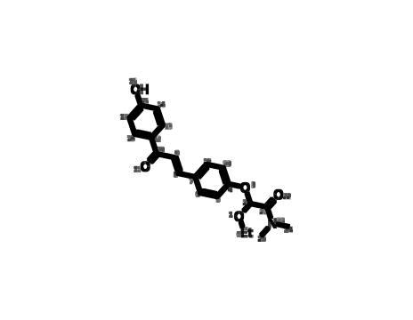 CCOC(Oc1ccc(C=CC(=O)c2ccc(O)cc2)cc1)C(=O)N(C)C